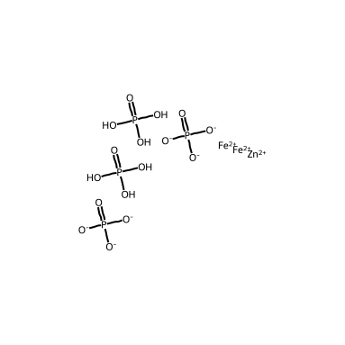 O=P(O)(O)O.O=P(O)(O)O.O=P([O-])([O-])[O-].O=P([O-])([O-])[O-].[Fe+2].[Fe+2].[Zn+2]